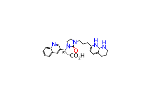 O=C(O)C[C@H](c1cnc2ccccc2c1)N1CCN(CCCC2=CC=C3CCCNC3N2)C1=O